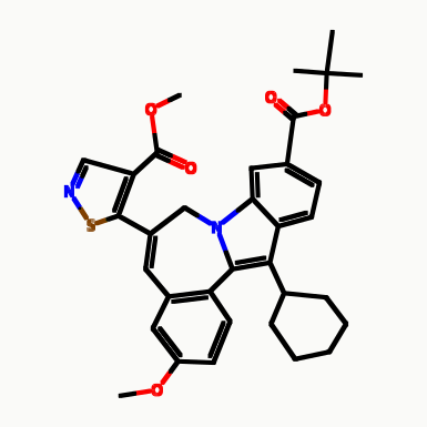 COC(=O)c1cnsc1C1=Cc2cc(OC)ccc2-c2c(C3CCCCC3)c3ccc(C(=O)OC(C)(C)C)cc3n2C1